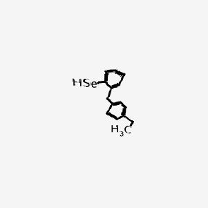 CCc1ccc(Cc2ccccc2[SeH])cc1